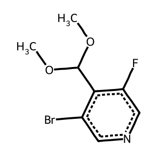 COC(OC)c1c(F)cncc1Br